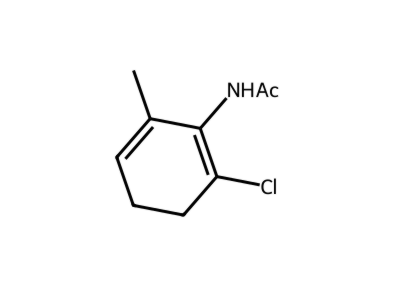 CC(=O)NC1=C(Cl)CCC=C1C